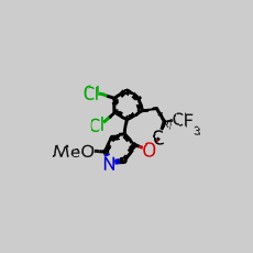 COc1cc2c(cn1)OC[C@H](C(F)(F)F)Cc1ccc(Cl)c(Cl)c1-2